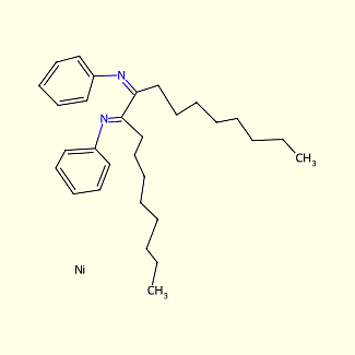 CCCCCCCCC(=Nc1ccccc1)C(CCCCCCCC)=Nc1ccccc1.[Ni]